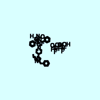 CCn1nc(Cc2ccccc2)cc1C1CCN(CC[C@@H](c2ccccc2)N(C(N)=O)S(=O)(=O)c2ccccc2)CC1.O=C(O)C(F)(F)F.O=C(O)C(F)(F)F